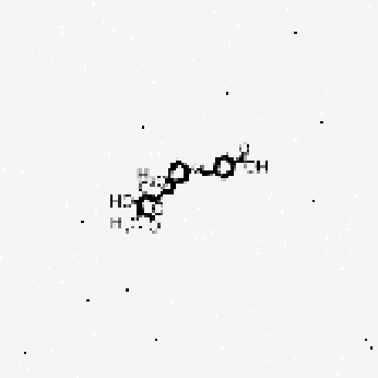 Cc1c(-c2cc3cc(OCc4ccc(C(=O)O)cc4)ccc3o2)oc(=O)c(C)c1O